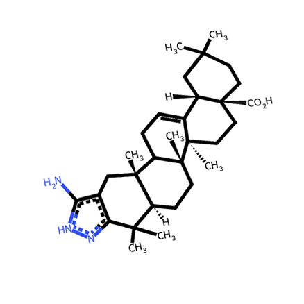 CC1(C)CC[C@]2(C(=O)O)CC[C@]3(C)C(=CCC4[C@@]5(C)Cc6c(n[nH]c6N)C(C)(C)[C@@H]5CC[C@]43C)[C@@H]2C1